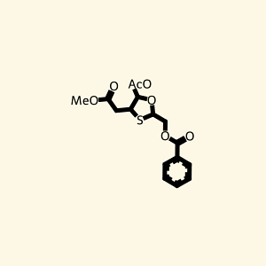 COC(=O)CC1SC(COC(=O)c2ccccc2)OC1OC(C)=O